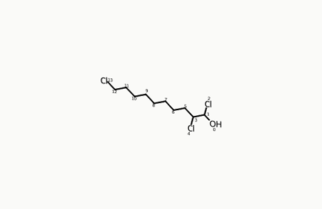 OC(Cl)C(Cl)CCCCCCCCCl